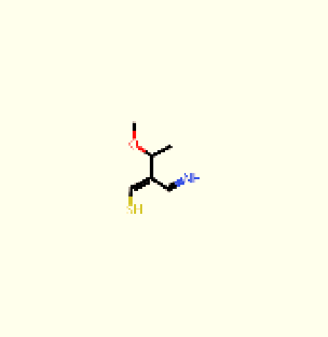 COC(C)/C(C=N)=C/S